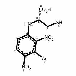 CC(=O)c1c([N+](=O)[O-])ccc(N[C@@H](CS)C(=O)O)c1[N+](=O)[O-]